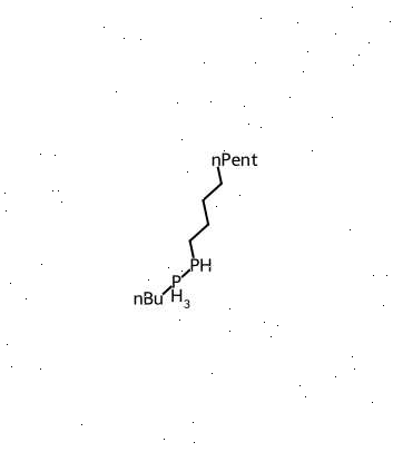 CCCCCCCCCP[PH3]CCCC